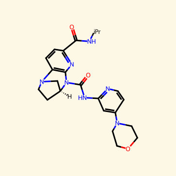 CC(C)NC(=O)c1ccc2c(n1)N(C(=O)Nc1cc(N3CCOCC3)ccn1)[C@H]1CCN2C1